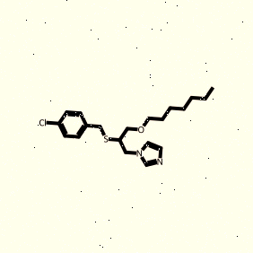 CCCCCCCOCC(Cn1ccnc1)SCc1ccc(Cl)cc1